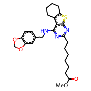 COC(=O)CCCCCCc1nc(NCc2ccc3c(c2)OCO3)c2c3c(sc2n1)CCCC3